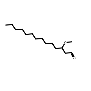 CCCCCCCCCCCC(CC=O)OC